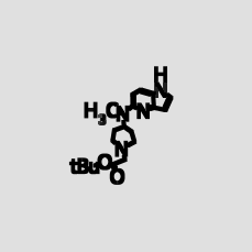 CN(c1ccc2[nH]ccc2n1)C1CCN(CC(=O)OC(C)(C)C)CC1